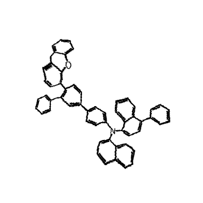 c1ccc(-c2cc(-c3ccc(N(c4cccc5ccccc45)c4ccc(-c5ccccc5)c5ccccc45)cc3)ccc2-c2cccc3c2oc2ccccc23)cc1